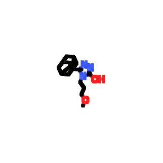 COCCCn1c(O)nnc1C12CC3CC(CC(C3)C1)C2